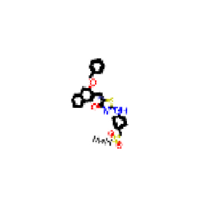 CNS(=O)(=O)Cc1ccc(NC2=NC(=O)/C(=C\c3cc4ccccc4cc3OCc3ccccc3)S2)cc1